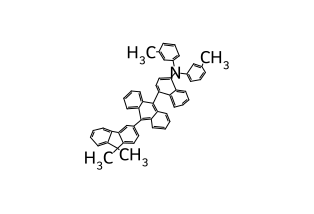 Cc1cccc(N(c2cccc(C)c2)c2ccc(-c3c4ccccc4c(-c4ccc5c(c4)-c4ccccc4C5(C)C)c4ccccc34)c3ccccc23)c1